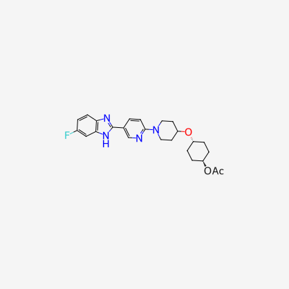 CC(=O)O[C@H]1CC[C@H](OC2CCN(c3ccc(-c4nc5ccc(F)cc5[nH]4)cn3)CC2)CC1